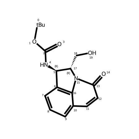 CC(C)(C)OC(=O)N[C@@H]1c2cccc3ccc(=O)n(c23)[C@H]1CO